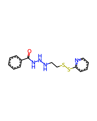 O=C(NNNCCSSc1ccccn1)c1ccccc1